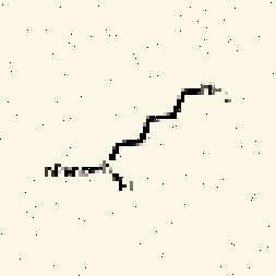 CCCCCN(CC)CCCCCN